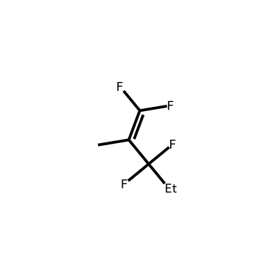 CCC(F)(F)C(C)=C(F)F